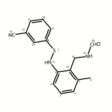 Cc1cccc(NSc2cccc(C#N)c2)c1CNC=O